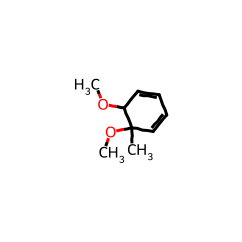 COC1C=CC=CC1(C)OC